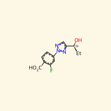 CC[C@H](O)c1cnn(-c2ccc(C(=O)O)c(F)c2)n1